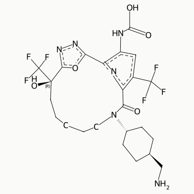 NC[C@H]1CC[C@H](N2CCCCC[C@](O)(C(F)(F)F)c3nnc(o3)-c3nc(c(C(F)(F)F)cc3NC(=O)O)C2=O)CC1